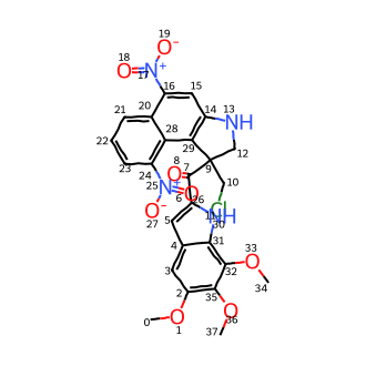 COc1cc2cc(C(=O)C3(CCl)CNc4cc([N+](=O)[O-])c5cccc([N+](=O)[O-])c5c43)[nH]c2c(OC)c1OC